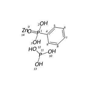 O=P(O)(O)c1ccccc1.OP(O)O.[Zn]